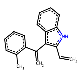 C=Cc1[nH]c2ccccc2c1C(=C)c1ccccc1C